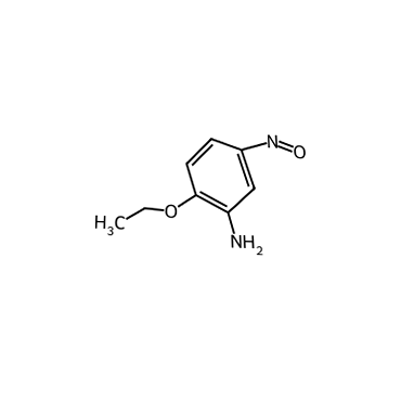 CCOc1ccc(N=O)cc1N